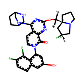 [2H]C([2H])(Oc1nc(N2CC3CCC2CN3)c2ccn(-c3cc(O)cc4ccc(F)c(F)c34)c(=O)c2n1)[C@@]12CCCN1C[C@]([2H])(F)C2